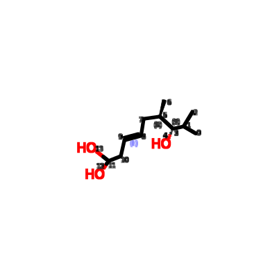 CC(C)[C@H](O)[C@H](C)C/C=C/CC(O)O